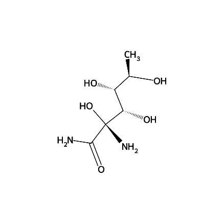 C[C@@H](O)[C@@H](O)[C@H](O)[C@@](N)(O)C(N)=O